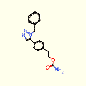 NC(=O)OCCc1ccc(-c2cnnn2Cc2ccccc2)cc1